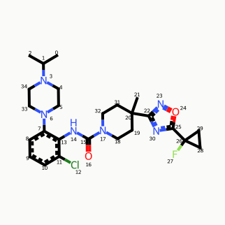 CC(C)N1CCN(c2cccc(Cl)c2NC(=O)N2CCC(C)(c3noc(C4(F)CC4)n3)CC2)CC1